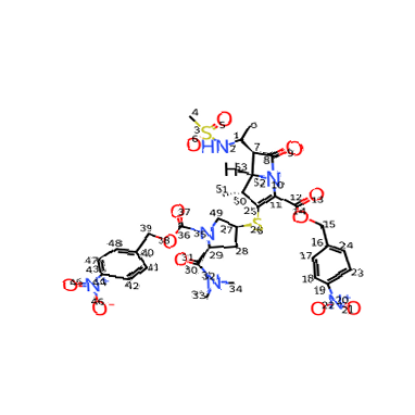 CC(NS(C)(=O)=O)[C@H]1C(=O)N2C(C(=O)OCc3ccc([N+](=O)[O-])cc3)=C(S[C@H]3C[C@@H](C(=O)N(C)C)N(C(=O)OCc4ccc([N+](=O)[O-])cc4)C3)[C@H](C)[C@H]12